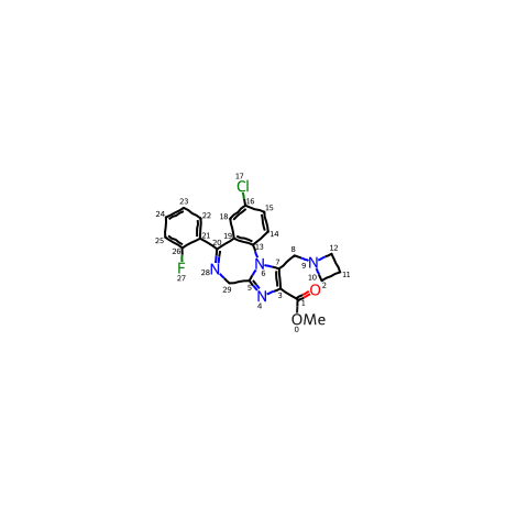 COC(=O)c1nc2n(c1CN1CCC1)-c1ccc(Cl)cc1C(c1ccccc1F)=NC2